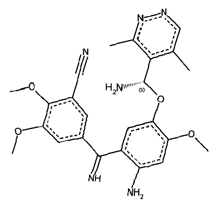 COc1cc(N)c(C(=N)c2cc(C#N)c(OC)c(OC)c2)cc1O[C@H](N)c1c(C)cnnc1C